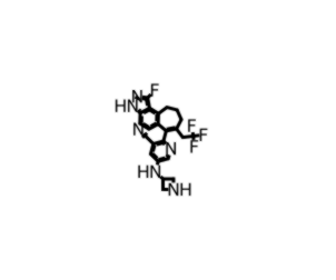 N#Cc1cc(NC2CNC2)cnc1C1=C(CC(F)(F)F)CCCc2c1ccc1[nH]nc(F)c21